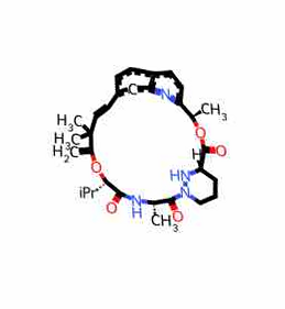 C=C1O[C@@H](C(C)C)C(=O)N[C@@H](C)C(=O)N2CCC[C@H](N2)C(=O)O[C@H](C)c2ccc3ccc(cc3n2)/C=C/C1(C)C